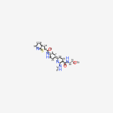 CCNc1nc(-c2ccc(NC(=O)c3cc4cccnc4s3)cc2)ccc1C(=O)NCCOC